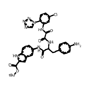 CC(C)(C)OC(=O)c1cc2cc(NC(=O)C(Cc3ccc(N)cc3)NC(=O)C(=O)Nc3cc(Cl)ccc3-n3cnnn3)ccc2[nH]1